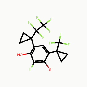 Oc1c(C2(C(F)(F)C(F)(F)F)CC2)cc(C2(C(F)(F)F)CC2)c(Br)c1F